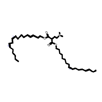 CCCCC/C=C\C/C=C\CCCCCCCCOC(=O)C(CCN(C)C)C(=O)OCCCCCCCC/C=C\CCCCCCC